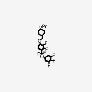 CCCC1CCC(COc2ccc(C(F)(F)Oc3cc(F)c(F)c(F)c3)c(F)c2F)CC1